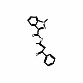 C/C(=C\C(=O)c1ccccc1)OC(=O)c1nn(C)c2ccccc12